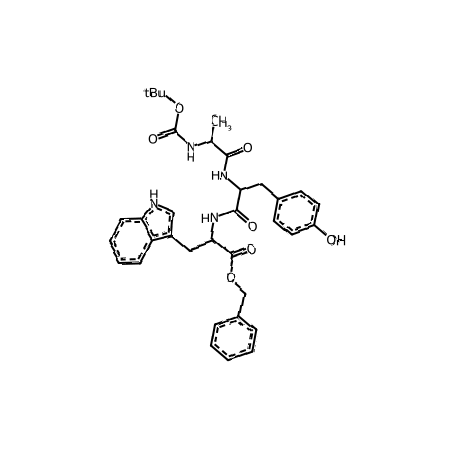 CC(NC(=O)OC(C)(C)C)C(=O)NC(Cc1ccc(O)cc1)C(=O)NC(Cc1c[nH]c2ccccc12)C(=O)OCc1ccccc1